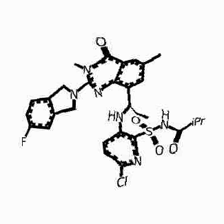 Cc1cc([C@@H](C)Nc2ccc(Cl)nc2S(=O)(=O)NC(=O)C(C)C)c2nc(N3Cc4ccc(F)cc4C3)n(C)c(=O)c2c1